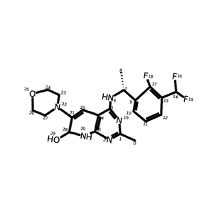 Cc1nc2c(c(N[C@H](C)c3cccc(C(F)F)c3F)n1)C=C(N1CCOCC1)C(O)N2